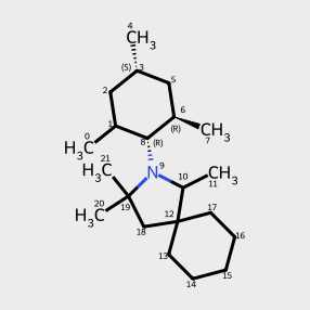 CC1C[C@H](C)C[C@@H](C)[C@@H]1N1C(C)C2(CCCCC2)CC1(C)C